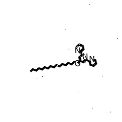 CCCCCCCCCCCCCCCCOc1cc(-c2ccccn2)nc(-c2ccccn2)c1